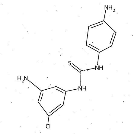 Nc1ccc(NC(=S)Nc2cc(N)cc(Cl)c2)cc1